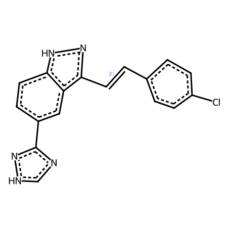 Clc1ccc(/C=C/c2n[nH]c3ccc(-c4nc[nH]n4)cc23)cc1